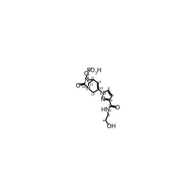 O=C(NCCO)c1ccn(C2=CC3CN(C2)C(=O)N3OS(=O)(=O)O)n1